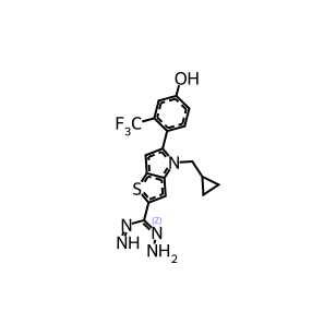 N=N/C(=N\N)c1cc2c(cc(-c3ccc(O)cc3C(F)(F)F)n2CC2CC2)s1